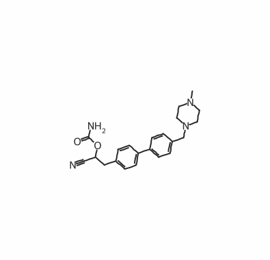 CN1CCN(Cc2ccc(-c3ccc(CC(C#N)OC(N)=O)cc3)cc2)CC1